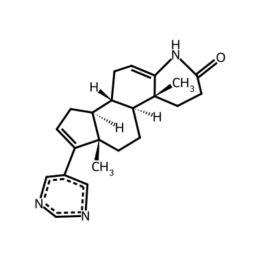 C[C@]12CCC(=O)NC1=CC[C@@H]1[C@@H]2CC[C@]2(C)C(c3cncnc3)=CC[C@@H]12